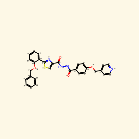 O=C(NNC(=O)c1csc(-c2ccccc2OCc2ccccc2)n1)c1ccc(OCc2ccncc2)cc1